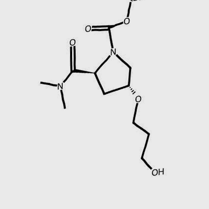 CN(C)C(=O)[C@@H]1C[C@@H](OCCCO)CN1C(=O)OC(C)(C)C